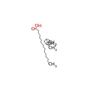 CC1=C2CC(CC1)C2(C)C.CCCCCCCCCCCCCCCC(=O)O